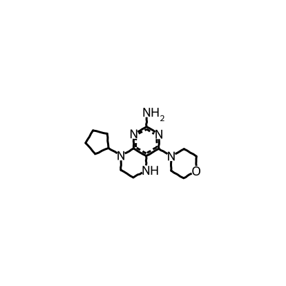 Nc1nc(N2CCOCC2)c2c(n1)N(C1CCCC1)CCN2